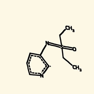 CCS(=O)(CC)=Nc1[c]nccc1